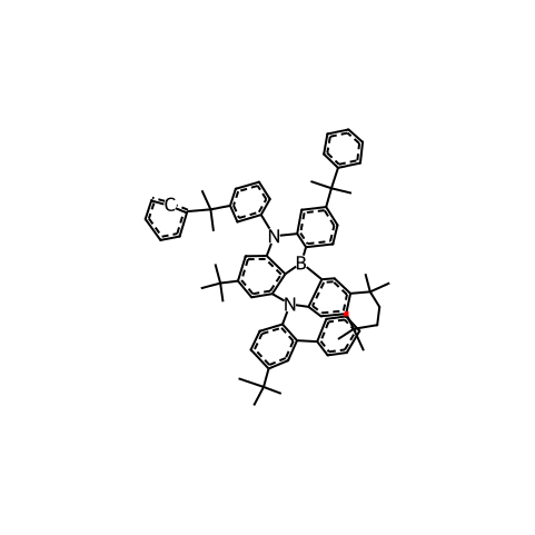 CC(C)(C)c1ccc(N2c3cc4c(cc3B3c5ccc(C(C)(C)c6ccccc6)cc5N(c5cccc(C(C)(C)c6ccccc6)c5)c5cc(C(C)(C)C)cc2c53)C(C)(C)CCC4(C)C)c(-c2ccccc2)c1